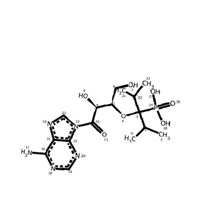 CC(C)C(O[C@H](CO)[C@H](O)C(=O)n1cnc2c(N)ncnc21)(C(C)C)P(=O)(O)O